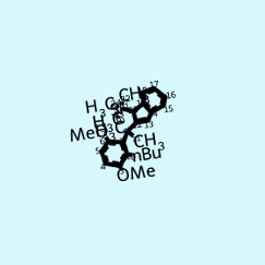 CCCCc1c(OC)ccc(OC)c1C(C)(C)C1=Cc2ccccc2C1[Si](C)(C)C